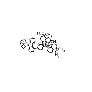 CC1(C)CCC(C)(C)c2c(N(c3ccc(-c4cccc5c4-c4ccccc4C54C5CC6CC7CC4C75C6)cc3)c3cccc4c3C(C)(C)CCC4(C)C)cccc21